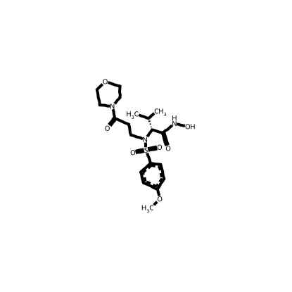 COc1ccc(S(=O)(=O)N(CCC(=O)N2CCOCC2)[C@@H](C(=O)NO)C(C)C)cc1